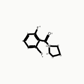 O=C(c1c(F)cccc1F)N1CCCC1